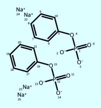 O=P([O-])([O-])Oc1ccccc1.O=P([O-])([O-])Oc1ccccc1.[Na+].[Na+].[Na+].[Na+]